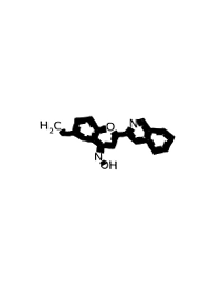 C=Cc1ccc2oc(-c3cc4ccccc4cn3)cc(=NO)c2c1